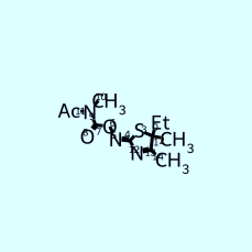 CCC1(C)SC(=NOC(=O)N(C)C(C)=O)N=C1C